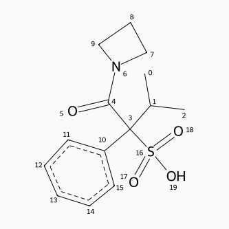 CC(C)C(C(=O)N1CCC1)(c1ccccc1)S(=O)(=O)O